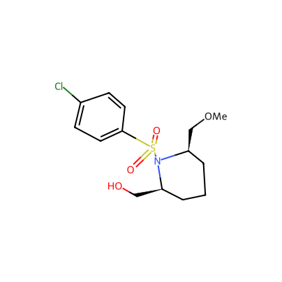 COC[C@H]1CCC[C@@H](CO)N1S(=O)(=O)c1ccc(Cl)cc1